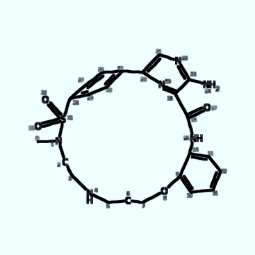 CN1CCNCCCOc2ccccc2NC(=O)c2nc(cnc2N)-c2ccc(cc2)S1(=O)=O